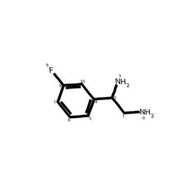 NCC(N)c1cccc(F)c1